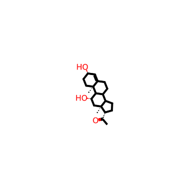 CC(=O)[C@H]1CCC2C3CCC4=C[C@@H](O)CC[C@]4(C)C3[C@@H](O)C[C@@]21C